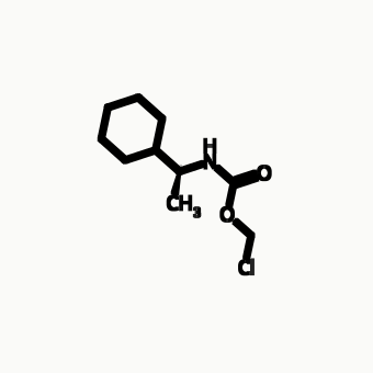 C[C@H](NC(=O)OCCl)C1CCCCC1